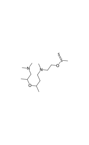 CC(CCN(C)CCOS(C)=S)OC(C)CN(C)C